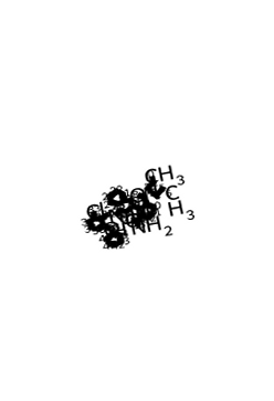 CCCN(CCC)C(=O)c1cccc(C(N)=O)c1[C@H](Cc1ccccc1)[C@@H](O)CNCc1c(Cl)cccc1Oc1ccccc1